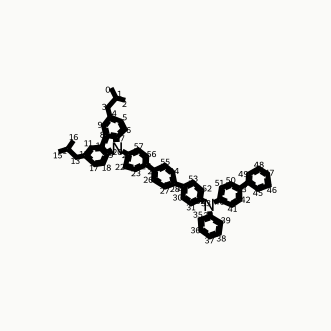 CC(C)Cc1ccc2c(c1)c1cc(CC(C)C)ccc1n2-c1ccc(-c2ccc(-c3ccc(N(c4ccccc4)c4ccc(-c5ccccc5)cc4)cc3)cc2)cc1